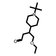 CCOCC(CC=O)C1CCN(C(C)(C)C)CC1